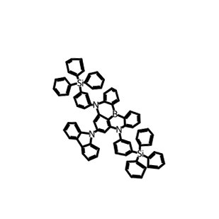 c1ccc([Si](c2ccccc2)(c2ccccc2)c2cccc(N3c4ccccc4B4c5ccccc5N(c5cccc([Si](c6ccccc6)(c6ccccc6)c6ccccc6)c5)c5cc(-n6c7ccccc7c7ccccc76)cc3c54)c2)cc1